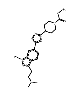 CC(C)n1nc(CCN(C)C)c2ccc(-c3noc(C4CCN(C(=O)OC(C)(C)C)CC4)n3)cc21